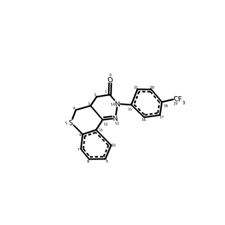 O=C1CC2CSc3ccccc3C2=NN1c1ccc(C(F)(F)F)cc1